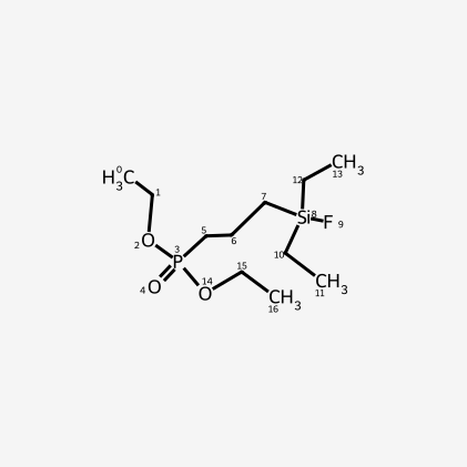 CCOP(=O)(CCC[Si](F)(CC)CC)OCC